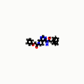 O=C(CC12CC3CC(CC(C3)C1)C2)Nc1ncnc2c1CCN(C(=O)COc1ccccc1)C2